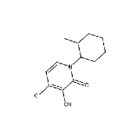 CC1CCCCC1n1ccc(Cl)c(C#N)c1=O